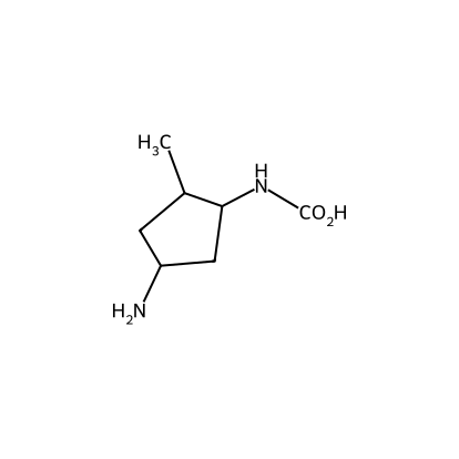 CC1CC(N)CC1NC(=O)O